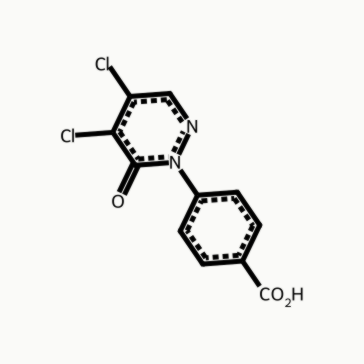 O=C(O)c1ccc(-n2ncc(Cl)c(Cl)c2=O)cc1